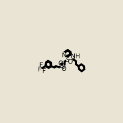 O=C(CCC1CCCCC1)Nc1cccnc1SCCS(=O)(=O)CC=Cc1cccc(C(F)(F)F)c1